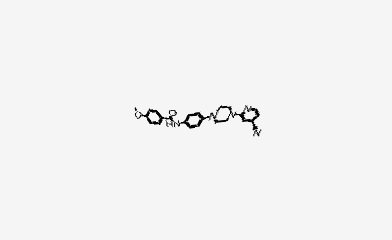 COc1ccc(C(=O)Nc2ccc(N3CCN(c4cc(C#N)ccn4)CC3)cc2)cc1